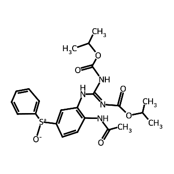 CC(=O)Nc1ccc([S+]([O-])c2ccccc2)cc1NC(=NC(=O)OC(C)C)NC(=O)OC(C)C